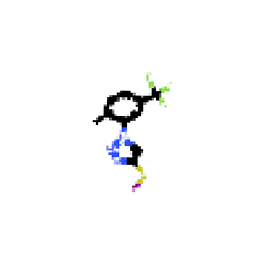 Cc1ccc(C(F)(F)F)cc1-n1cc(SI)nn1